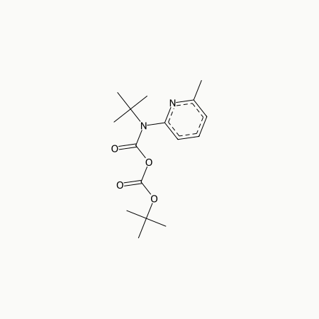 Cc1cccc(N(C(=O)OC(=O)OC(C)(C)C)C(C)(C)C)n1